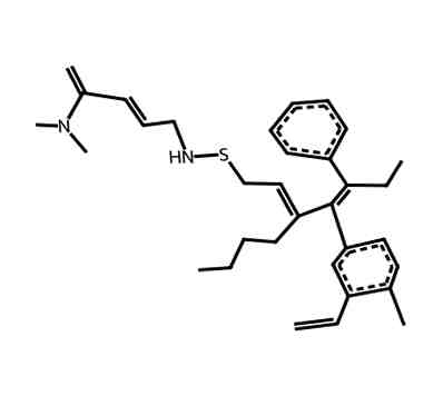 C=Cc1cc(C(/C(=C/CSNC/C=C/C(=C)N(C)C)CCCC)=C(\CC)c2ccccc2)ccc1C